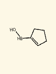 OBC1=CCCC1